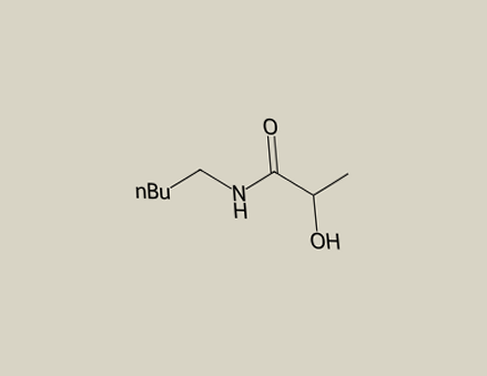 CC[CH]CCNC(=O)C(C)O